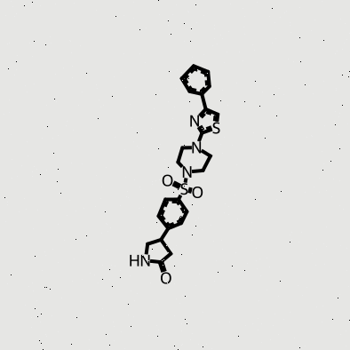 O=C1CC(c2ccc(S(=O)(=O)N3CCN(c4nc(-c5ccccc5)cs4)CC3)cc2)CN1